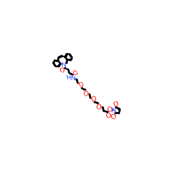 O=C(CCC(=O)N1Cc2ccccc2/C=C\c2ccccc21)NCCOCCOCCOCCOCCC(=O)ON1C(=O)CCC1=O